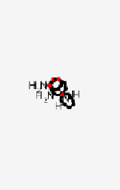 Nc1cccc([C@H]2C[C@H]3CC[C@@H](C2)N3C2CCCCCCC2)c1N